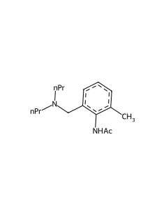 CCCN(CCC)Cc1cccc(C)c1NC(C)=O